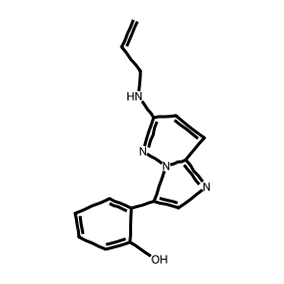 C=CCNc1ccc2ncc(-c3ccccc3O)n2n1